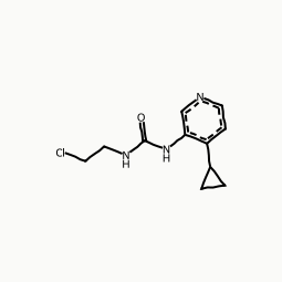 O=C(NCCCl)Nc1cnccc1C1CC1